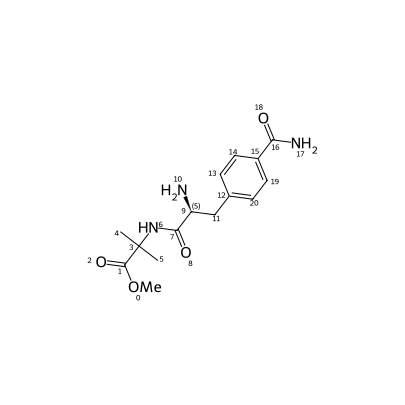 COC(=O)C(C)(C)NC(=O)[C@@H](N)Cc1ccc(C(N)=O)cc1